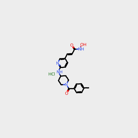 Cc1ccc(C(=O)N2CCC(Nc3ccc(C=CC(=O)NO)cn3)CC2)cc1.Cl